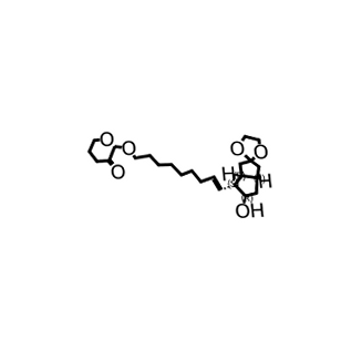 O=C1CCCOC1OCCCCCCCC=C[C@@H]1[C@@H]2CC3(C[C@H]2C[C@H]1O)OCCO3